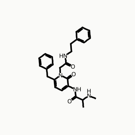 CNC(C)C(=O)Nc1ccc(Cc2ccccc2)n(CC(=O)NCCc2ccccc2)c1=O